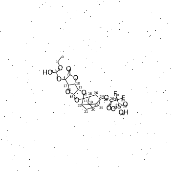 CCOC(O)OC1C(=O)OC2C3OC4(OC3OC12)C1CC2CC4CC(OC(=O)C(F)(F)S(=O)(=O)O)(C2)C1